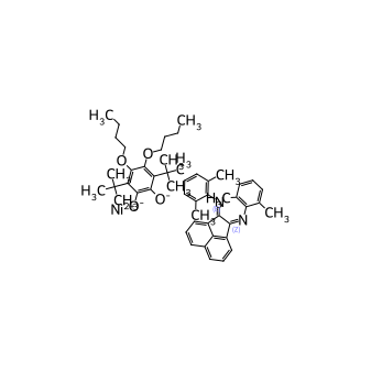 CCCCOc1c(OCCCC)c(C(C)(C)C)c([O-])c([O-])c1C(C)(C)C.Cc1cccc(C)c1/N=C1\C(=N\c2c(C)cccc2C)c2cccc3cccc1c23.[Ni+2]